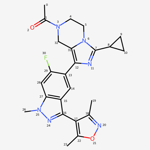 CC(=O)N1CCn2c(C3CC3)nc(-c3cc4c(-c5c(C)noc5C)nn(C)c4cc3F)c2C1